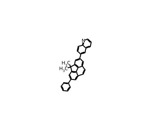 CC1(C)c2cc(-c3ccccc3)cc3ccc4cc(-c5ccc6ncccc6c5)cc1c4c23